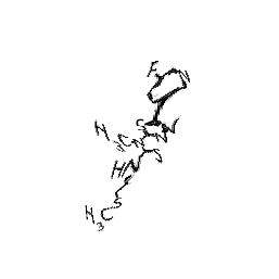 CSCCNC(=S)N(C)c1nnc(-c2cncc(F)c2)s1